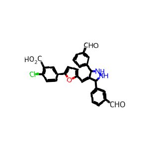 O=Cc1cccc(C2NNC(c3cccc(C=O)c3)C2=Cc2ccc(-c3ccc(Cl)c(C(=O)O)c3)o2)c1